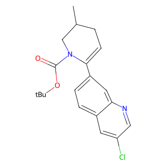 CC1CC=C(c2ccc3cc(Cl)cnc3c2)N(C(=O)OC(C)(C)C)C1